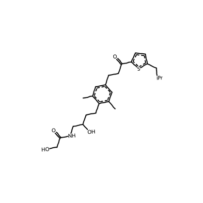 Cc1cc(CCC(=O)c2ccc(CC(C)C)s2)cc(C)c1CCC(O)CNC(=O)CO